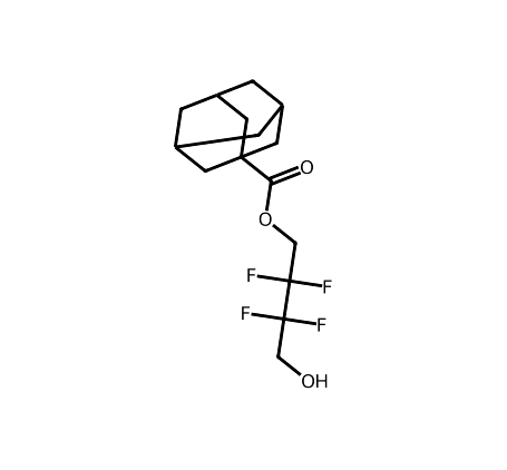 O=C(OCC(F)(F)C(F)(F)CO)C12CC3CC(CC(C3)C1)C2